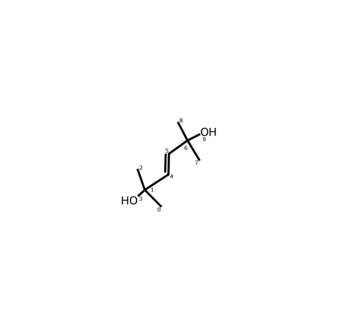 CC(C)(O)C=CC(C)(C)O